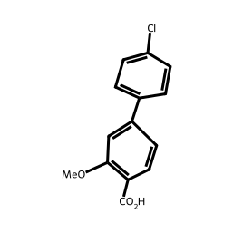 COc1cc(-c2ccc(Cl)cc2)ccc1C(=O)O